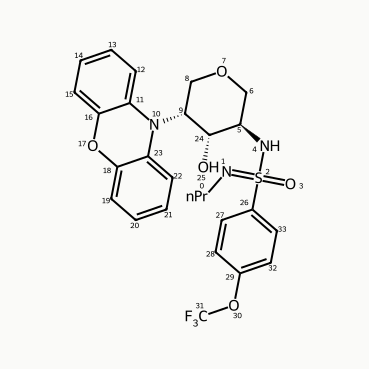 CCCN=S(=O)(N[C@@H]1COC[C@@H](N2c3ccccc3Oc3ccccc32)[C@H]1O)c1ccc(OC(F)(F)F)cc1